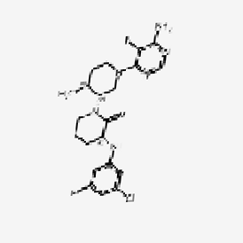 C[C@H]1CCN(c2ncnc(N)c2F)C[C@@H]1N1CCC[C@@H](Nc2cc(F)cc(Cl)c2)C1=O